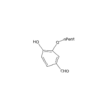 CCCCCOc1cc(C=O)ccc1O